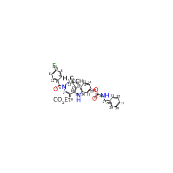 CCOC(=O)C1=CN(C(=O)c2ccc(F)cc2)CC(C)(C)c2c1[nH]c1cc(OC(=O)NCc3ccccc3)ccc21